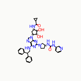 O=C(Nc1cccnc1)N[C@@H]1CCN(c2nc(NCC(c3ccccc3)c3ccccc3)c3ncn([C@@H]4C[C@H](NC(=O)C5CC5)[C@@H](O)[C@H]4O)c3n2)C1